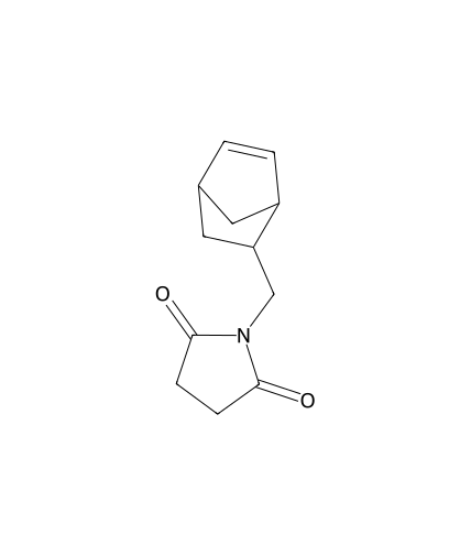 O=C1CCC(=O)N1CC1CC2C=CC1C2